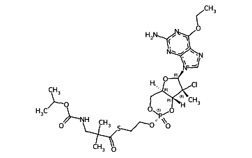 CCOc1nc(N)nc2c1ncn2[C@@H]1O[C@@H]2CO[P@@](=O)(OCCSC(=O)C(C)(C)CNC(=O)OC(C)C)O[C@H]2[C@@]1(C)Cl